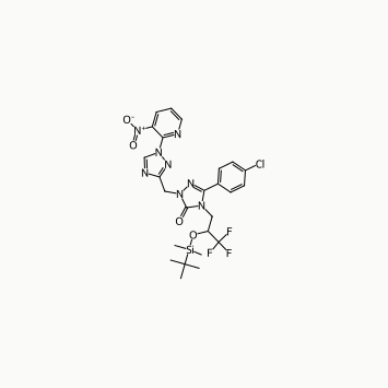 CC(C)(C)[Si](C)(C)OC(Cn1c(-c2ccc(Cl)cc2)nn(Cc2ncn(-c3ncccc3[N+](=O)[O-])n2)c1=O)C(F)(F)F